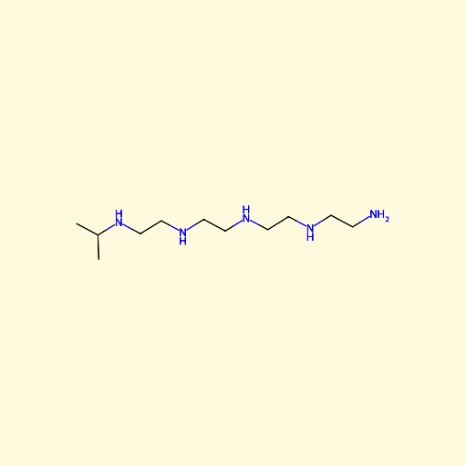 CC(C)NCCNCCNCCNCCN